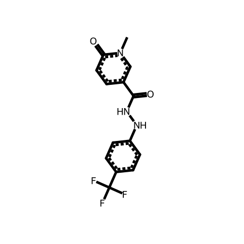 Cn1cc(C(=O)NNc2ccc(C(F)(F)F)cc2)ccc1=O